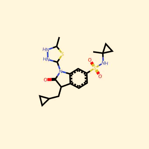 CC1NNC(N2C(=O)C(CC3CC3)c3ccc(S(=O)(=O)NC4(C)CC4)cc32)S1